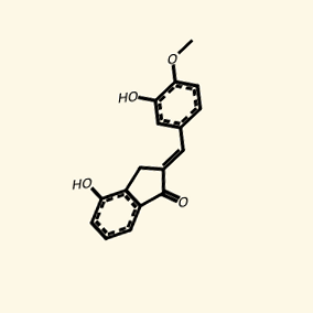 COc1ccc(/C=C2\Cc3c(O)cccc3C2=O)cc1O